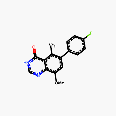 COc1cc(-c2ccc(F)cc2)c(C(F)(F)F)c2c(=O)[nH]cnc12